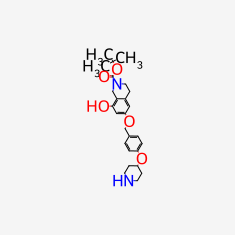 CC(C)(C)OC(=O)N1CCc2cc(OCc3ccc(OC4CCNCC4)cc3)cc(O)c2C1